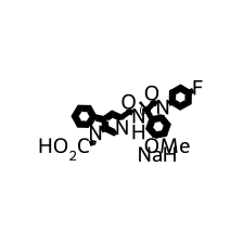 COc1ccc2c(c1)[C@](C)(NC(=O)c1cc3c4ccccc4n(CC(=O)O)c3cn1)C(=O)N2c1ccc(F)cc1.[NaH]